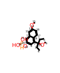 CCC(CC)(OC)c1cccc2cc(OC)ccc12.O=[PH](O)O